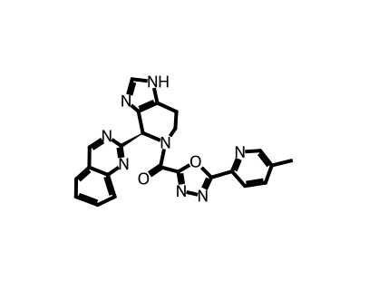 Cc1ccc(-c2nnc(C(=O)N3CCc4[nH]cnc4[C@@H]3c3ncc4ccccc4n3)o2)nc1